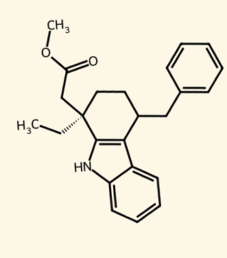 CC[C@]1(CC(=O)OC)CCC(Cc2ccccc2)c2c1[nH]c1ccccc21